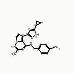 Cc1ccc(CNc2nc(N)nn3ccc(-c4cc(C5CC5)[nH]n4)c23)cc1